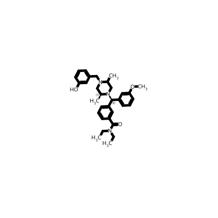 CCN(CC)C(=O)c1cccc([C@H](c2cccc(OC)c2)N2CC(C)N(Cc3cccc(O)c3)C[C@@H]2C)c1